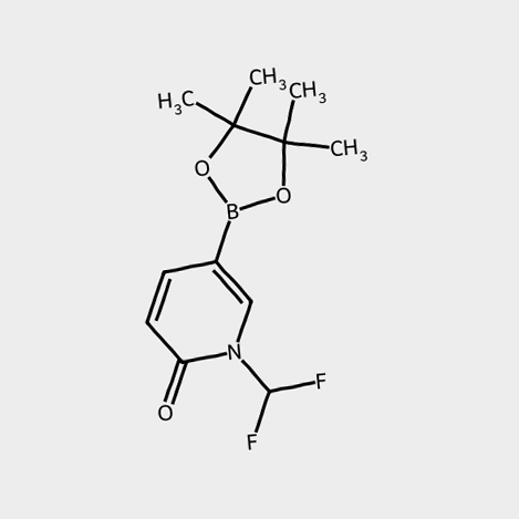 CC1(C)OB(c2ccc(=O)n(C(F)F)c2)OC1(C)C